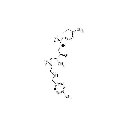 CC1=CC=C(C2(NCC(=O)[C@H](C)CC3(CCNCc4ccc(C)cc4)CC3)CC2)CC1